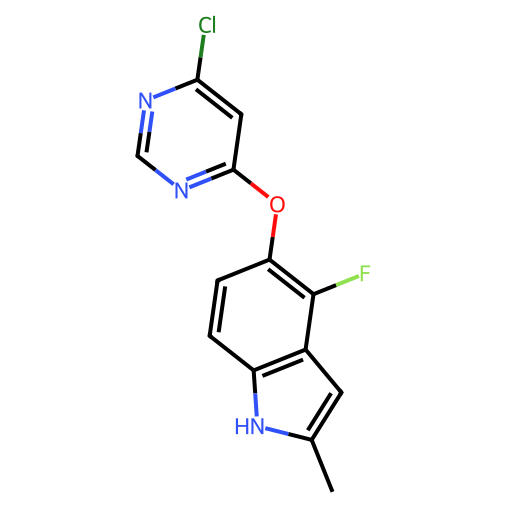 Cc1cc2c(F)c(Oc3cc(Cl)ncn3)ccc2[nH]1